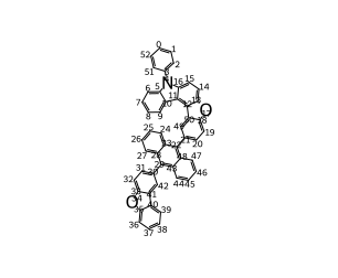 c1ccc(-n2c3ccccc3c3c4c(ccc32)oc2ccc(-c3c5ccccc5c(-c5ccc6oc7ccccc7c6c5)c5ccccc35)cc24)cc1